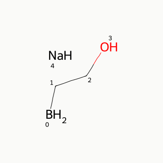 BCCO.[NaH]